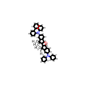 CC1(C)c2cc(N(c3ccccc3)c3ccccc3)ccc2-c2oc3c(c21)C(C)(C)c1cc(N(c2ccccc2)c2ccccc2-c2ccccc2)ccc1-3